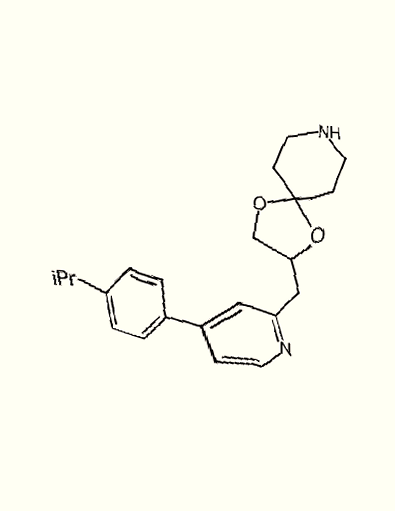 CC(C)c1ccc(-c2ccnc(CC3COC4(CCNCC4)O3)c2)cc1